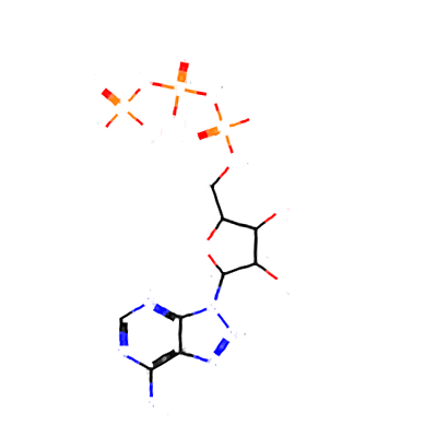 Nc1ncnc2c1nnn2C1OC(COP(=O)(O)OP(=O)(O)OP(=O)(O)O)C(O)C1O